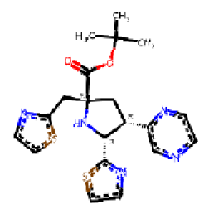 CC(C)(C)OC(=O)[C@]1(Cc2nccs2)C[C@H](c2cnccn2)[C@H](c2nccs2)N1